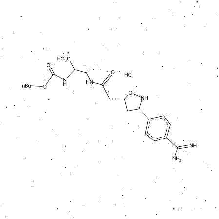 CCCCOC(=O)NC(CNC(=O)C[C@H]1C[C@@H](c2ccc(C(=N)N)cc2)NO1)C(=O)O.Cl